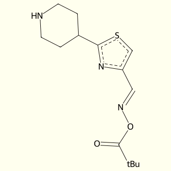 CC(C)(C)C(=O)ON=Cc1csc(C2CCNCC2)n1